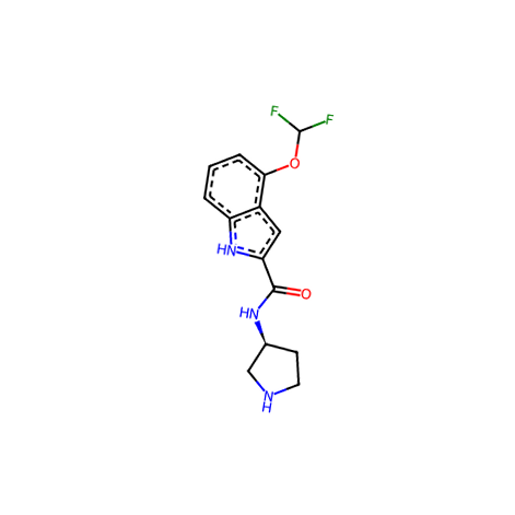 O=C(N[C@H]1CCNC1)c1cc2c(OC(F)F)cccc2[nH]1